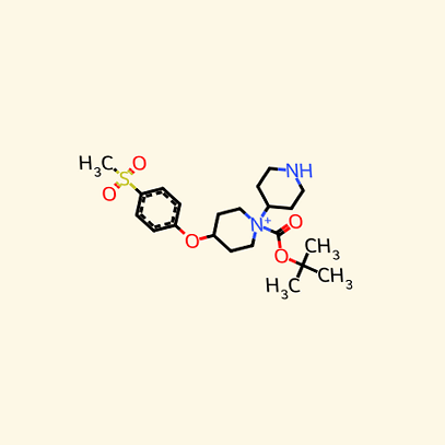 CC(C)(C)OC(=O)[N+]1(C2CCNCC2)CCC(Oc2ccc(S(C)(=O)=O)cc2)CC1